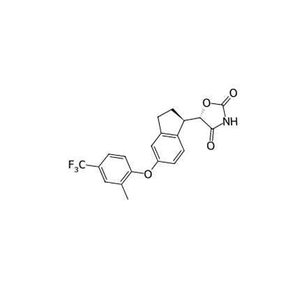 Cc1cc(C(F)(F)F)ccc1Oc1ccc2c(c1)CC[C@H]2[C@@H]1OC(=O)NC1=O